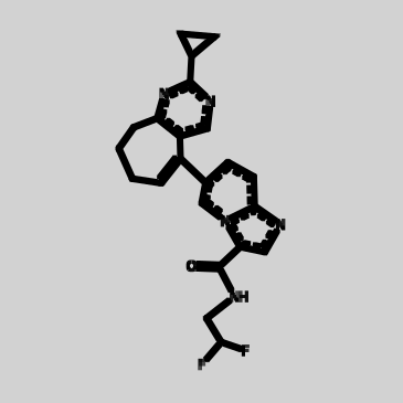 O=C(NCC(F)F)c1cnc2ccc(C3=CCCCc4nc(C5CC5)ncc43)cn12